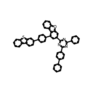 c1ccc(-c2ccc(-c3nc(-c4ccccc4)nc(-c4cc(-c5ccc(-c6ccc7c(c6)sc6ccccc67)cc5)c5c(c4)oc4ccccc45)n3)cc2)cc1